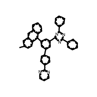 Cc1ccc2c(-c3cc(-c4ccc(-c5ncccn5)cc4)cc(-c4nc(-c5ccccc5)nc(-c5ccccc5)n4)c3)c3ccccc3cc2c1